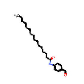 CCCCCCCCCCCCCCCC(=O)Nc1ccc([C]=O)cc1